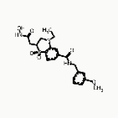 CCN1CC(CC(=O)NO)S(=O)(=O)c2ccc(C(=O)NCc3cccc(OC)c3)cc21